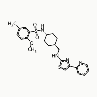 COc1ccc(C)cc1S(=O)(=O)N[C@H]1CC[C@H](CNc2nc(-c3ccccn3)cs2)CC1